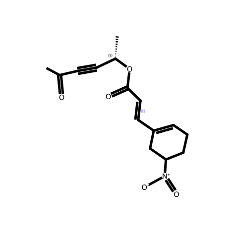 CC(=O)C#C[C@H](C)OC(=O)/C=C/C1=CCCC([N+](=O)[O-])C1